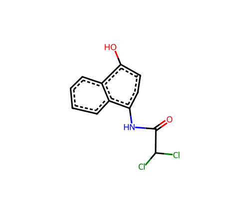 O=C(Nc1ccc(O)c2ccccc12)C(Cl)Cl